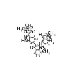 Cc1cccc(C(=O)Nc2ccc3c(C(=O)OC(C)(C)C)n[nH]c3c2)c1NC(=O)c1ccc(C(C)(C)C)cc1